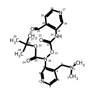 CN(C)Cc1ccncc1N(OC(=O)Nc1cnccc1C=O)C(=O)OC(C)(C)C